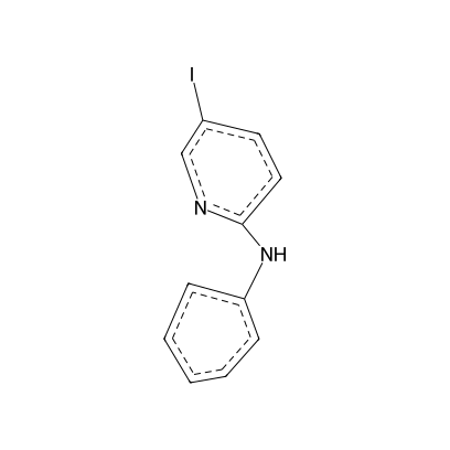 Ic1ccc(Nc2ccccc2)nc1